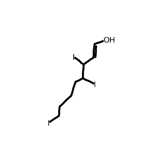 OC=CC(I)C(I)CCCCI